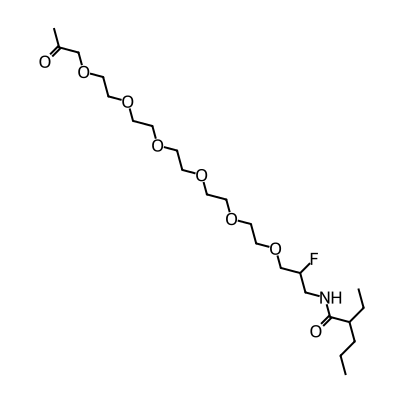 CCCC(CC)C(=O)NCC(F)COCCOCCOCCOCCOCCOCC(C)=O